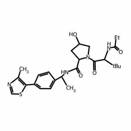 CCC(=O)NC(C(=O)N1CC(O)CC1C(=O)NC(C)c1ccc(-c2scnc2C)cc1)C(C)(C)C